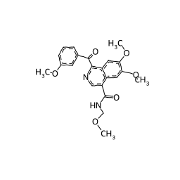 COCNC(=O)c1cnc(C(=O)c2cccc(OC)c2)c2cc(OC)c(OC)cc12